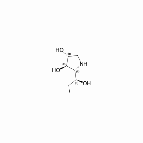 CC[C@H](O)[C@H]1NC[C@@H](O)[C@@H]1O